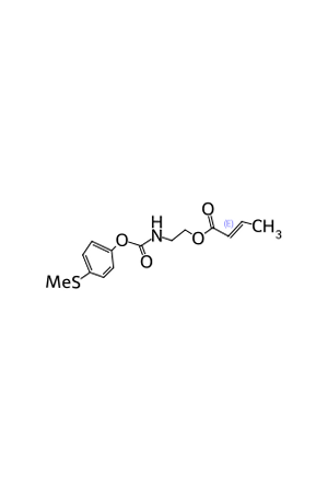 C/C=C/C(=O)OCCNC(=O)Oc1ccc(SC)cc1